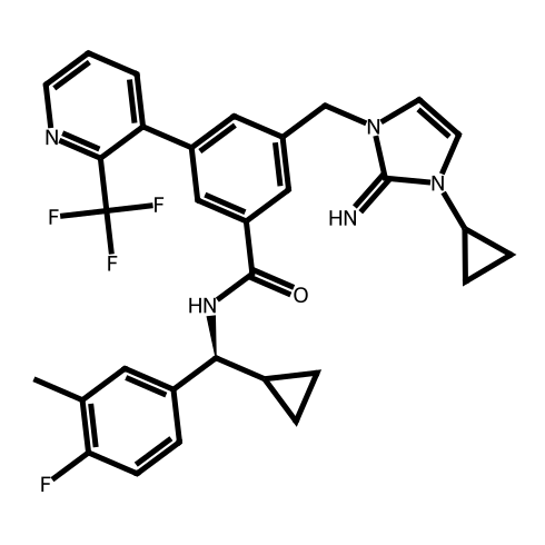 Cc1cc([C@@H](NC(=O)c2cc(Cn3ccn(C4CC4)c3=N)cc(-c3cccnc3C(F)(F)F)c2)C2CC2)ccc1F